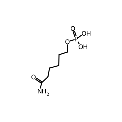 NC(=O)CCCCCOP(=O)(O)O